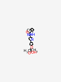 COc1nc(-c2ccc(-c3ccc(OCC(C)(C)C(=O)O)cc3)nc2)[nH]c1-c1ccccc1